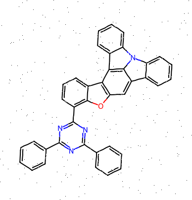 c1ccc(-c2nc(-c3ccccc3)nc(-c3cccc4c3oc3cc5c6ccccc6n6c7ccccc7c(c34)c56)n2)cc1